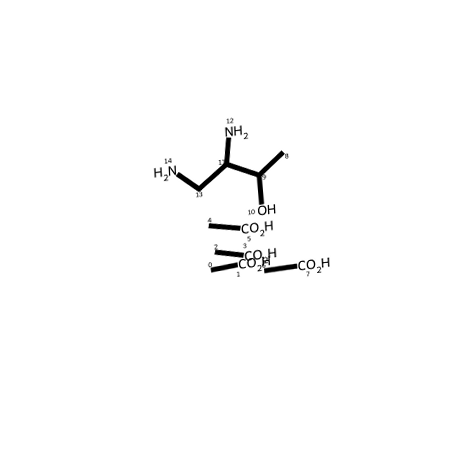 CC(=O)O.CC(=O)O.CC(=O)O.CC(=O)O.CC(O)C(N)CN